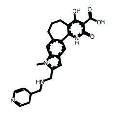 Cn1c(CNCC2C=CN=CC2)cc2cc3c(cc21)CCCc1c-3[nH]c(=O)c(C(=O)O)c1O